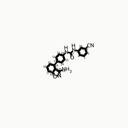 N#Cc1cccc(NC(=O)Nc2ccc(-c3cccc4onc(N)c34)cc2)c1